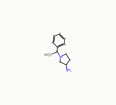 N[C@@H]1CCN(C(C(=O)O)c2ccccc2)C1